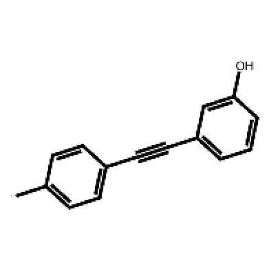 [CH2]c1ccc(C#Cc2cccc(O)c2)cc1